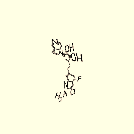 Nc1nc2cc(CCC3=C[C@@H](n4ccc5cnccc54)[C@H](O)[C@@H]3O)cc(F)c2cc1Cl